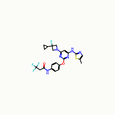 Cc1cnc(Nc2cc(N3CC(F)(C4CC4)C3)nc(Oc3ccc(NC(=O)CC(F)(F)F)cc3)n2)s1